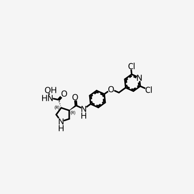 O=C(NO)[C@H]1CNC[C@@H]1C(=O)Nc1ccc(OCc2cc(Cl)nc(Cl)c2)cc1